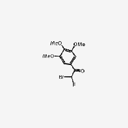 COc1cc(C(=O)C(F)Br)cc(OC)c1OC